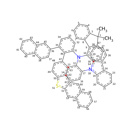 CC1(C)c2ccccc2-c2c(N(c3ccccc3-n3c4ccccc4c4ccccc43)c3cccc(-c4ccc5ccccc5c4)c3-c3ccc4sc5cc6ccccc6cc5c4c3)cccc21